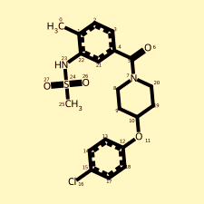 Cc1ccc(C(=O)N2CCC(Oc3ccc(Cl)cc3)CC2)cc1NS(C)(=O)=O